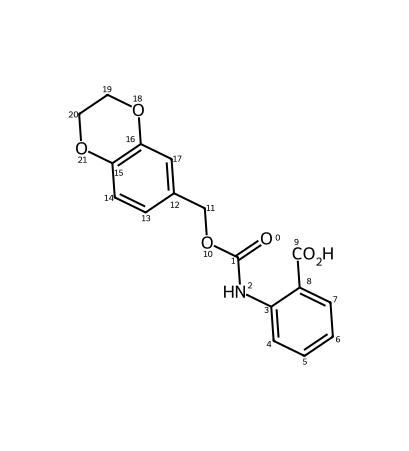 O=C(Nc1ccccc1C(=O)O)OCc1ccc2c(c1)OCCO2